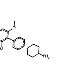 COc1cccc(OC)c1-c1ccccc1.PC1CCCCC1